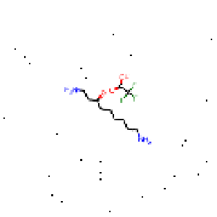 NCCCCCCC(=O)CCN.O=C(O)C(F)(F)F